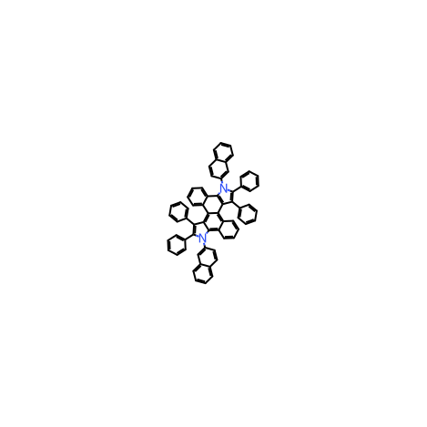 c1ccc(-c2c(-c3ccccc3)n(-c3ccc4ccccc4c3)c3c4ccccc4c4c5c(-c6ccccc6)c(-c6ccccc6)n(-c6ccc7ccccc7c6)c5c5ccccc5c4c23)cc1